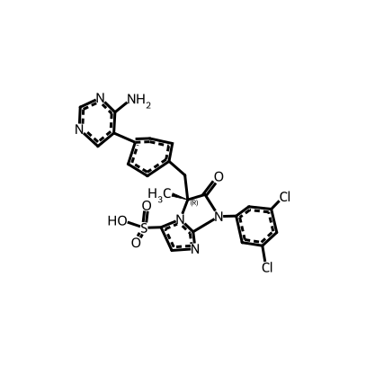 C[C@@]1(Cc2ccc(-c3cncnc3N)cc2)C(=O)N(c2cc(Cl)cc(Cl)c2)c2ncc(S(=O)(=O)O)n21